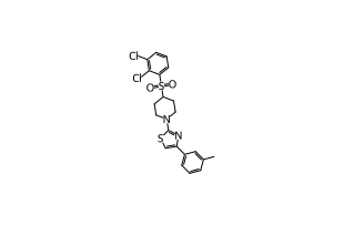 Cc1cccc(-c2csc(N3CCC(S(=O)(=O)c4cccc(Cl)c4Cl)CC3)n2)c1